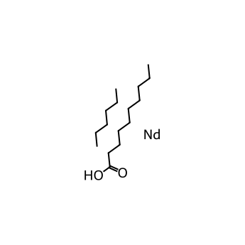 CCCCCC.CCCCCCCCCC(=O)O.[Nd]